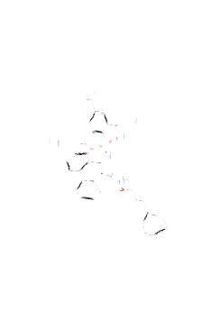 CC(C)c1cc(C(C)C)c(S(=O)(=O)N[C@H](c2ccccc2)[C@@H](NC(=O)CCCC2=CCC=CC2)C2C=CC=CC2)c(C(C)C)c1